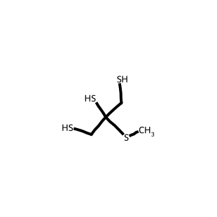 CSC(S)(CS)CS